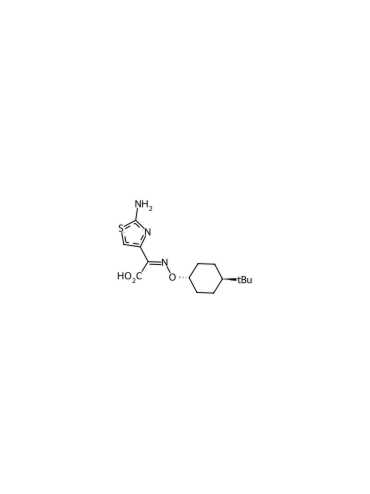 CC(C)(C)[C@H]1CC[C@H](O/N=C(\C(=O)O)c2csc(N)n2)CC1